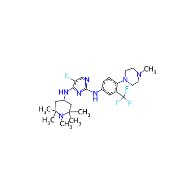 CN1CCN(c2ccc(Nc3ncc(F)c(NC4CC(C)(C)N(C)C(C)(C)C4)n3)cc2C(F)(F)F)CC1